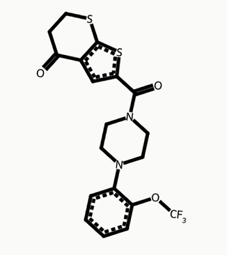 O=C1CCSc2sc(C(=O)N3CCN(c4ccccc4OC(F)(F)F)CC3)cc21